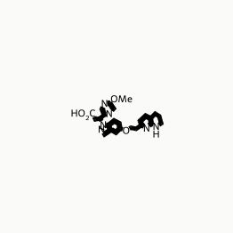 COc1cnc(C(CC(=O)O)n2ncc3cc(OCCc4ccc5c(n4)NCCC5)ccc32)cn1